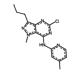 CCCc1nn(C)c2c(Nc3cc(C)ccn3)nc(Cl)nc12